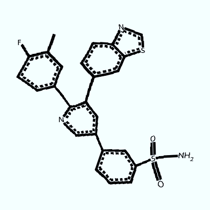 Cc1cc(-c2ncc(-c3cccc(S(N)(=O)=O)c3)cc2-c2ccc3ncsc3c2)ccc1F